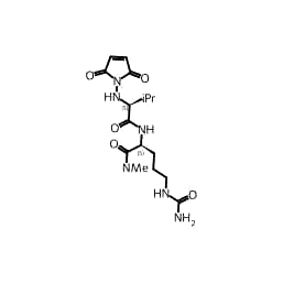 CNC(=O)[C@H](CCCNC(N)=O)NC(=O)[C@@H](NN1C(=O)C=CC1=O)C(C)C